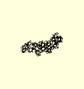 c1ccc(N(c2cccc(-c3c4ccccc4c(-c4ccc(-c5c6ccccc6c(-c6cccc(N(c7ccccc7)c7cccc8c7CCCC8)c6)c6ccccc56)c5ccccc45)c4ccccc34)c2)c2cccc3c2CCCC3)cc1